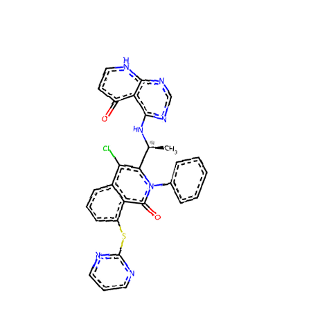 C[C@H](Nc1ncnc2[nH]ccc(=O)c12)c1c(Cl)c2cccc(Sc3ncccn3)c2c(=O)n1-c1ccccc1